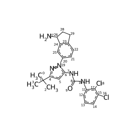 CC(C)(C)c1cc(NC(=O)Nc2cccc(Cl)c2Cl)n(-c2ccc3c(c2)C(N)CC3)n1